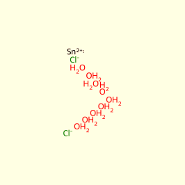 O.O.O.O.O.O.O.O.O.[Cl-].[Cl-].[Sn+2]